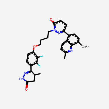 COc1ccc(-c2ccc(=O)n(CCCCOc3ccc(C4=NNC(=O)CC4C)c(F)c3F)n2)c2ccc(C)nc12